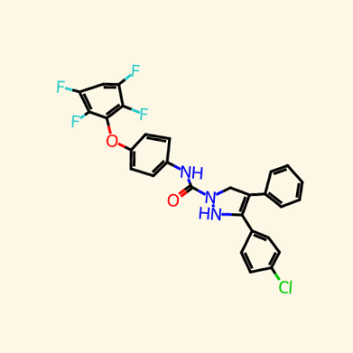 O=C(Nc1ccc(Oc2c(F)c(F)cc(F)c2F)cc1)N1CC(c2ccccc2)=C(c2ccc(Cl)cc2)N1